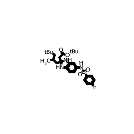 CC(CC(C)(C)C)CC1(CC(=O)OC(C)(C)C)Nc2ccc(NS(=O)(=O)c3ccc(F)cc3)cc2N1